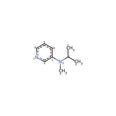 CC(C)N(C)c1[c]nccc1